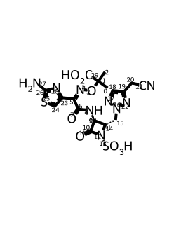 CC(C)(ON=C(C(=O)N[C@@H]1C(=O)N(S(=O)(=O)O)[C@H]1Cn1ncc(CC#N)n1)c1csc(N)n1)C(=O)O